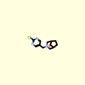 O=C1C2CCC1CN(Cc1cnc(Cl)nc1)C2